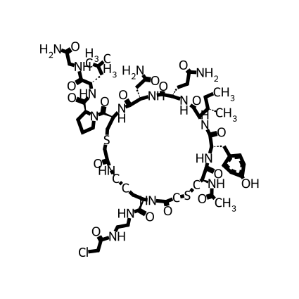 CC[C@H](C)[C@@H]1NC(=O)[C@H](Cc2ccc(O)cc2)NC(=O)[C@@H](NC(C)=O)CSCC(=O)N[C@@H](C(=O)NCCNC(=O)CCl)CCCNC(=O)CSC[C@@H](C(=O)N2CCC[C@H]2C(=O)N[C@@H](CC(C)C)C(=O)NCC(N)=O)NC(=O)[C@H](CC(N)=O)NC(=O)[C@H](CCC(N)=O)NC1=O